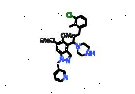 COc1cc2c(cnn2Cc2cccnc2)c(C(CCc2cccc(Cl)c2C)N2CCNCC2)c1OC